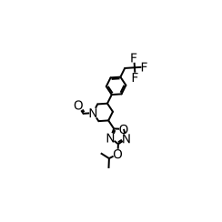 CC(C)Oc1noc(C2CC(c3ccc(CC(F)(F)F)cc3)CN(C=O)C2)n1